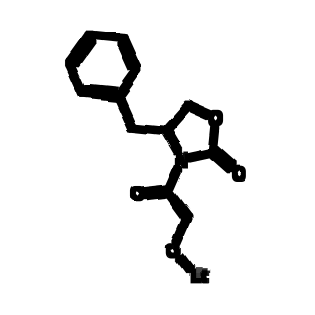 CCOCC(=O)N1C(=O)OCC1Cc1ccccc1